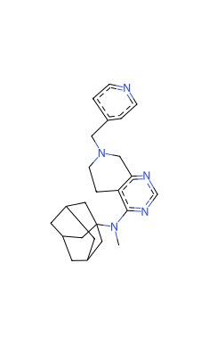 CN(c1ncnc2c1CCN(Cc1ccncc1)C2)C12CC3CC(CC(C3)C1)C2